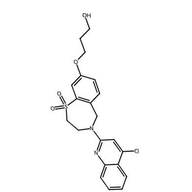 O=S1(=O)CCN(c2cc(Cl)c3ccccc3n2)Cc2ccc(OCCCO)cc21